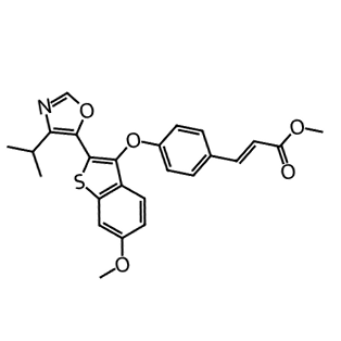 COC(=O)/C=C/c1ccc(Oc2c(-c3ocnc3C(C)C)sc3cc(OC)ccc23)cc1